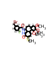 COc1cc2c(c(OC)c1OC)-c1ccc(SC)c(=O)cc1[C@@H](NC(=O)c1cc(CBr)ccc1F)CC2